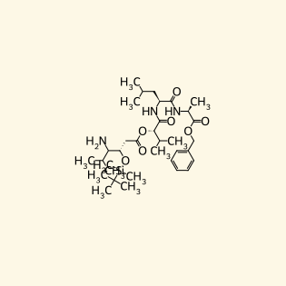 CC(C)C[C@H](NC(=O)[C@@H](OC(=O)C[C@H](O[Si](C)(C)C(C)(C)C)C(N)C(C)C)C(C)C)C(=O)N[C@@H](C)C(=O)OCc1ccccc1